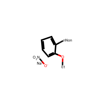 O=[N+]([O-])[O-].[CH2]COc1ccccc1CCCCCCCCC.[Na+]